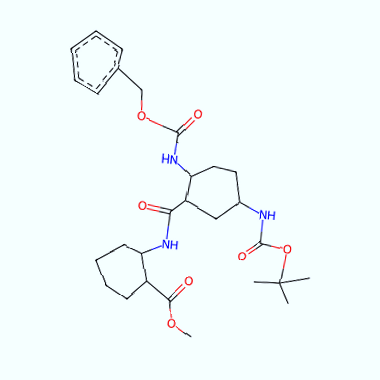 COC(=O)C1CCCCC1NC(=O)C1CC(NC(=O)OC(C)(C)C)CCC1NC(=O)OCc1ccccc1